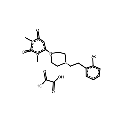 CC(=O)c1ccccc1CCN1CCN(c2cc(=O)n(C)c(=O)n2C)CC1.O=C(O)C(=O)O